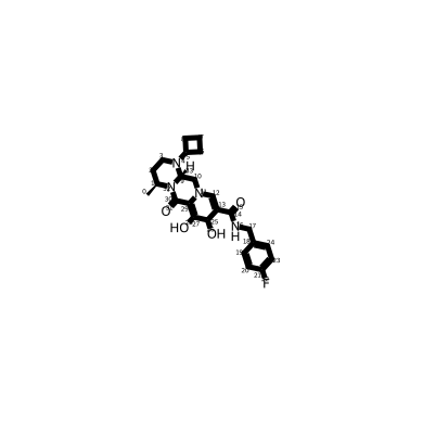 C[C@H]1CCN(C2CCC2)[C@@H]2CN3C=C(C(=O)NCc4ccc(F)cc4)C(O)C(O)=C3C(=O)N12